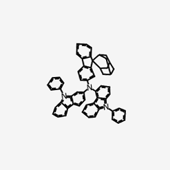 c1ccc(-n2c3ccccc3c3ccc(N(c4ccc5c(c4)C4(c6ccccc6-5)C5CC6CC(C5)CC4C6)c4cccc5c4c4ccccc4n5-c4ccccc4)cc32)cc1